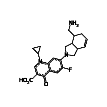 NCC1CC=CC2CN(c3cc4c(cc3F)c(=O)c(C(=O)O)cn4C3CC3)CC21